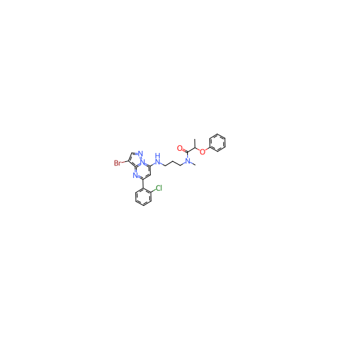 CC(Oc1ccccc1)C(=O)N(C)CCCNc1cc(-c2ccccc2Cl)nc2c(Br)cnn12